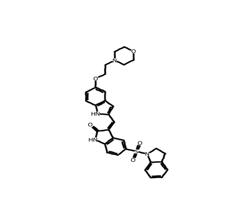 O=C1Nc2ccc(S(=O)(=O)N3CCc4ccccc43)cc2C1=Cc1cc2cc(OCCN3CCOCC3)ccc2[nH]1